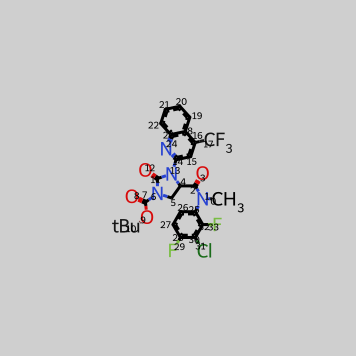 CN(C(=O)C1CN(C(=O)OC(C)(C)C)C(=O)N1c1cc(C(F)(F)F)c2ccccc2n1)c1ccc(F)c(Cl)c1F